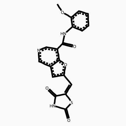 COc1ccccc1NC(=O)c1cncc2cc(C=C3SC(=O)NC3=O)oc12